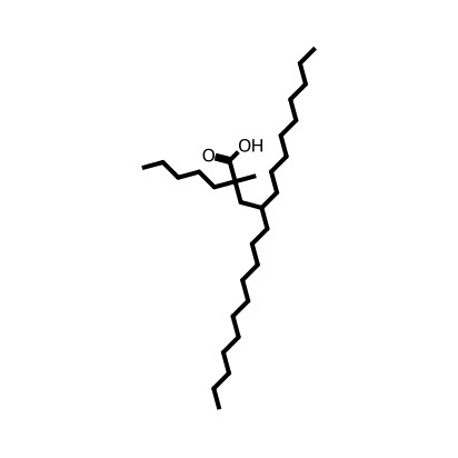 CCCCCCCCCCCC(CCCCCCCCC)CC(C)(CCCCC)C(=O)O